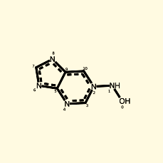 ONn1cnc2ncnc-2c1